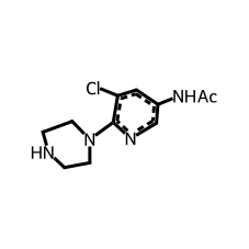 CC(=O)Nc1cnc(N2CCNCC2)c(Cl)c1